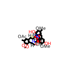 COc1cc2c(cc1O)CCN[C@]21CS[C@@H]2c3c(OC(C)=O)c(C)c4c(c3[C@H](COC1=O)N1[C@@H]2[C@H]2c3c(cc(C)c(OC)c3O)C[C@@H]([C@@H]1C#N)N2C)OCO4